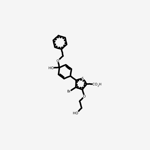 O=C(O)c1sc(C2C=CC(O)(OCc3ccccc3)C=C2)c(Br)c1OCCO